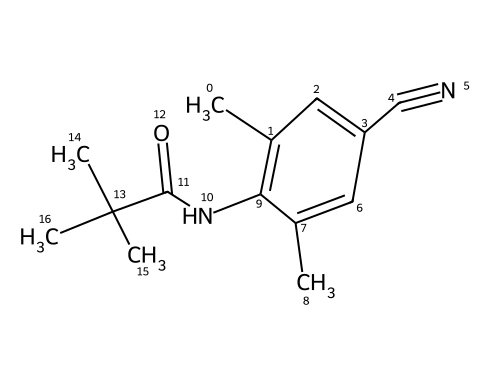 Cc1cc(C#N)cc(C)c1NC(=O)C(C)(C)C